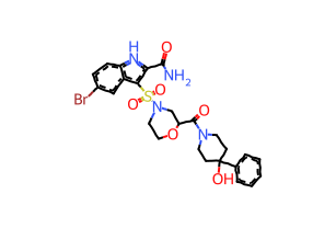 NC(=O)c1[nH]c2ccc(Br)cc2c1S(=O)(=O)N1CCOC(C(=O)N2CCC(O)(c3ccccc3)CC2)C1